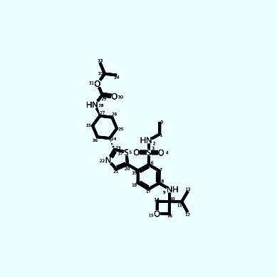 CCNS(=O)(=O)c1cc(NC2(C(C)C)COC2)ccc1-c1cnc([C@H]2CC[C@H](NC(=O)OC(C)C)CC2)s1